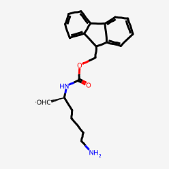 NCCCC[C@@H]([C]=O)NC(=O)OCC1c2ccccc2-c2ccccc21